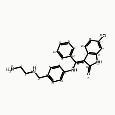 NCCNCc1ccc(N/C(=C2\C(=O)Nc3cc(Cl)ccc32)c2ccccc2)cc1